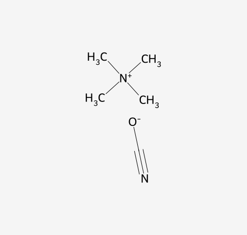 C[N+](C)(C)C.N#C[O-]